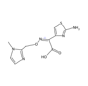 Cn1ccnc1CO/N=C(\C(=O)O)c1csc(N)n1